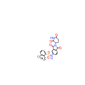 Cc1c(Cl)cccc1S(=O)(=O)Nc1ccc2c(c1)C(=O)N(C1CCC(=O)NC1=O)C2=O